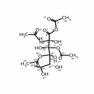 CC(=O)N[C@](O)(C(=O)OC(C)=O)[C@](O)(OC(C)=O)[C@@](O)(OC(C)=O)[C@H](O)C(O)I